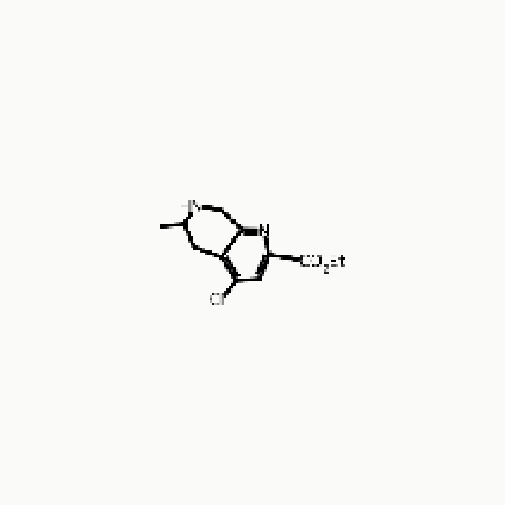 CCOC(=O)c1cc(Cl)c2c(n1)CNC(C)C2